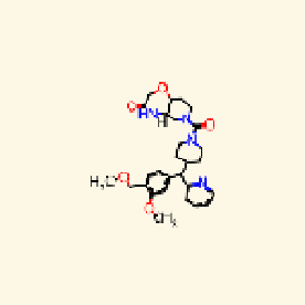 COCc1ccc(C(c2ccccn2)C2CCN(C(=O)N3CCC4OCC(=O)N[C@@H]4C3)CC2)cc1OC